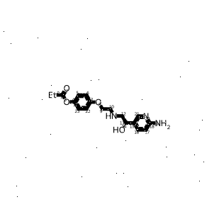 CCC(=O)Oc1ccc(OCCNC[C@@H](O)c2ccc(N)nc2)cc1